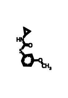 COc1cccc(SC(=O)NC2CC2)c1